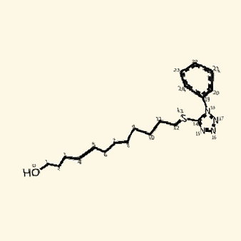 OCCCCCCCCCCCCSc1nnnn1-c1ccccc1